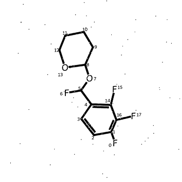 Fc1ccc(C(F)OC2CCCCO2)c(F)c1F